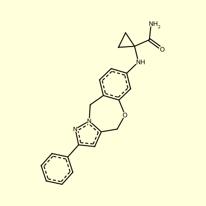 NC(=O)C1(Nc2ccc3c(c2)OCc2cc(-c4ccccc4)nn2C3)CC1